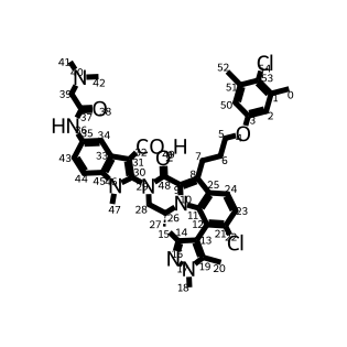 Cc1cc(OCCCc2c3n(c4c(-c5c(C)nn(C)c5C)c(Cl)ccc24)[C@H](C)CN(c2c(C(=O)O)c4cc(NC(=O)CN(C)C)ccc4n2C)C3=O)cc(C)c1Cl